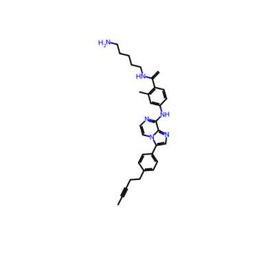 C=C(NCCCCCN)c1ccc(Nc2nccn3c(-c4ccc(CCC#CC)cc4)cnc23)cc1C